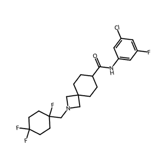 O=C(Nc1cc(F)cc(Cl)c1)C1CCC2(CC1)CN(CC1(F)CCC(F)(F)CC1)C2